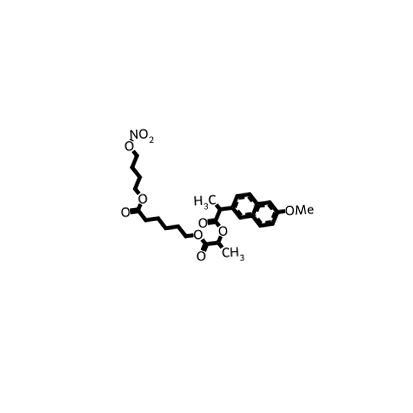 COc1ccc2cc(C(C)C(=O)OC(C)C(=O)OCCCCCC(=O)OCCCCO[N+](=O)[O-])ccc2c1